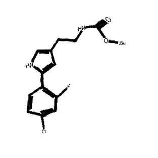 CC(C)(C)OC(=O)NCCc1c[nH]c(-c2ccc(Cl)cc2F)c1